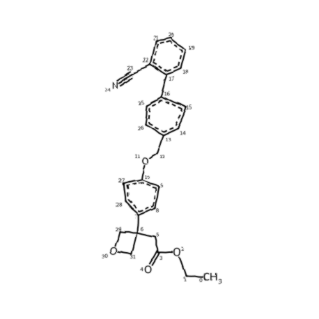 CCOC(=O)CC1(c2ccc(OCc3ccc(-c4ccccc4C#N)cc3)cc2)COC1